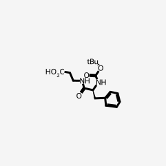 CC(C)(C)OC(=O)N[C@@H](Cc1ccccc1)C(=O)NCCC(=O)O